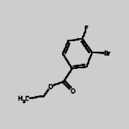 CCOC(=O)c1ccc(F)c(Br)c1